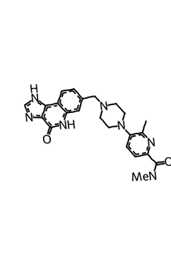 CNC(=O)c1ccc(N2CCN(Cc3ccc4c(c3)[nH]c(=O)c3nc[nH]c34)CC2)c(C)n1